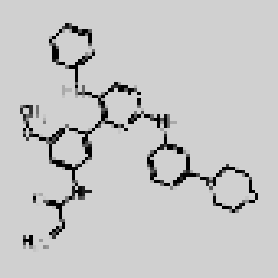 C=CC(=O)Nc1cc(OC)cc(-c2nc(Nc3cccc(N4CCOCC4)c3)ncc2Nc2ccccc2)c1